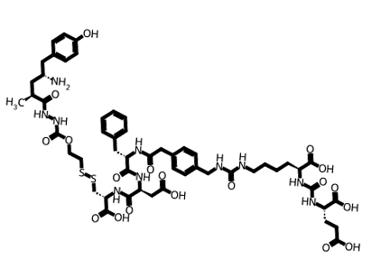 C[C@@H](C[C@@H](N)Cc1ccc(O)cc1)C(=O)NNC(=O)OCCSSC[C@H](NC(=O)[C@H](CC(=O)O)NC(=O)[C@H](Cc1ccccc1)NC(=O)Cc1ccc(CNC(=O)NCCCC[C@H](NC(=O)N[C@@H](CCC(=O)O)C(=O)O)C(=O)O)cc1)C(=O)O